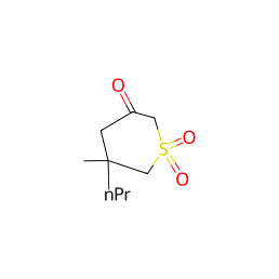 CCCC1(C)CC(=O)CS(=O)(=O)C1